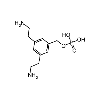 NCCc1cc(CCN)cc(COP(=O)(O)O)c1